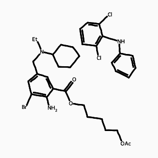 CCN(Cc1cc(Br)c(N)c(C(=O)OCCCCCOC(C)=O)c1)C1CCCCC1.Clc1cccc(Cl)c1Nc1ccccc1